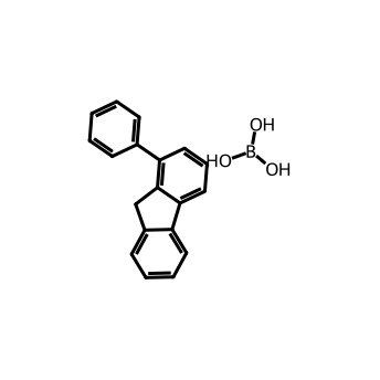 OB(O)O.c1ccc(-c2cccc3c2Cc2ccccc2-3)cc1